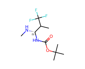 CN[C@@H](NC(=O)OC(C)(C)C)C(C)C(F)(F)F